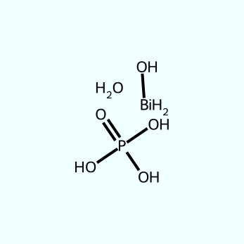 O.O=P(O)(O)O.[OH][BiH2]